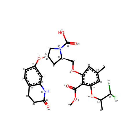 COC(=O)c1c(OC[C@H]2C[C@H](Oc3ccc4c(c3)NC(=O)CC4)CN2C(=O)O)cc(C)cc1OC(C)C(F)F